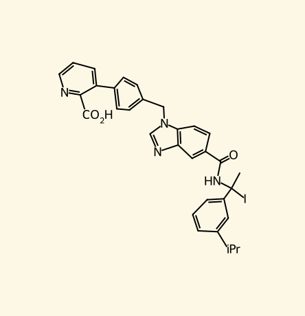 CC(C)c1cccc(C(C)(I)NC(=O)c2ccc3c(c2)ncn3Cc2ccc(-c3cccnc3C(=O)O)cc2)c1